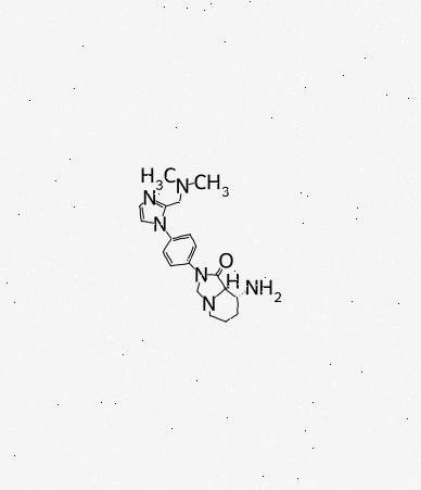 CN(C)Cc1nccn1-c1ccc(N2CN3CCC[C@@H](N)[C@H]3C2=O)cc1